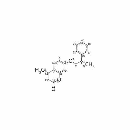 CC(COc1ccc2c(c1)OC(=O)CC2C)c1ccccc1